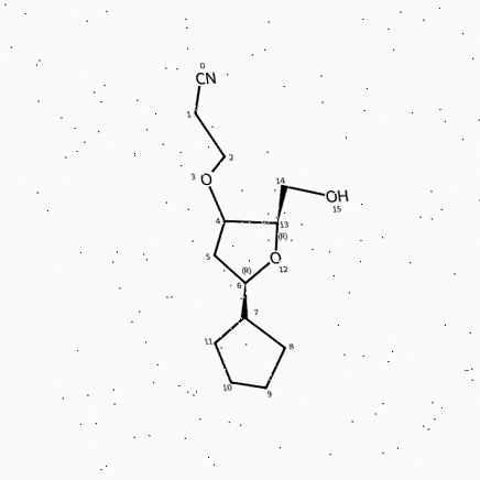 N#CCCOC1C[C@H](C2CCCC2)O[C@@H]1CO